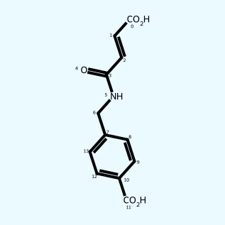 O=C(O)C=CC(=O)NCc1ccc(C(=O)O)cc1